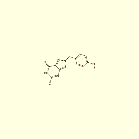 COc1ccc(Cn2cc3nc(Cl)[nH]c(=O)c3n2)cc1